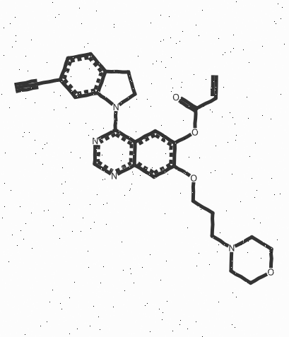 C#Cc1ccc2c(c1)N(c1ncnc3cc(OCCCN4CCOCC4)c(OC(=O)C=C)cc13)CC2